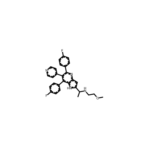 COCCNC(C)c1cc2nc(-c3ccc(F)cc3)c(-c3ccncc3)c(-c3ccc(F)cc3)c2[nH]1